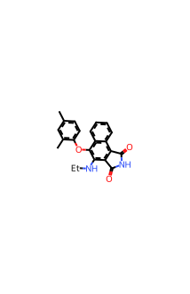 CCNc1c2c(c3ccccc3c1Oc1ccc(C)cc1C)C(=O)NC2=O